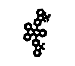 CC1(F)c2ccccc2-c2ccc(-c3c4ccccc4c(-c4ccc5c(c4)C(C)(C(F)(F)F)c4ccccc4-5)c4c5ccccc5c5ccccc5c34)cc21